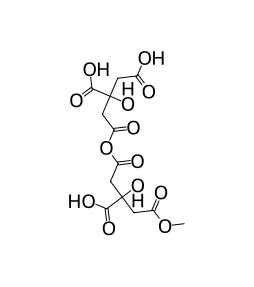 COC(=O)CC(O)(CC(=O)OC(=O)CC(O)(CC(=O)O)C(=O)O)C(=O)O